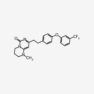 CN1CCCn2c1cc(CCc1ccc(Oc3cccc(C(F)(F)F)c3)cc1)nc2=O